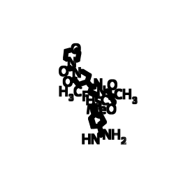 COCC(C)(C)C(=O)n1nc(C2CCN(C(=O)N3CCOCC3)C(=O)C2C)c(F)c1SCc1ccc(C(=N)N)cc1